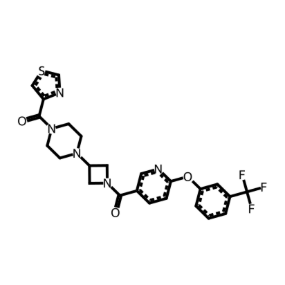 O=C(c1ccc(Oc2cccc(C(F)(F)F)c2)nc1)N1CC(N2CCN(C(=O)c3cscn3)CC2)C1